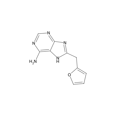 Nc1ncnc2nc(Cc3ccco3)[nH]c12